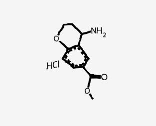 COC(=O)c1ccc2c(c1)C(N)CCO2.Cl